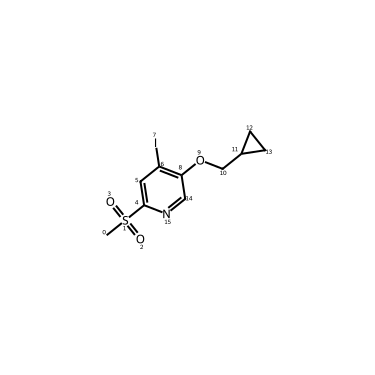 CS(=O)(=O)c1cc(I)c(OCC2CC2)cn1